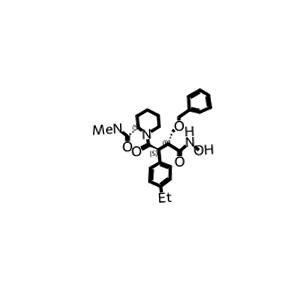 CCc1ccc([C@@H](C(=O)N2CCCC[C@H]2C(=O)NC)[C@H](COCc2ccccc2)C(=O)NO)cc1